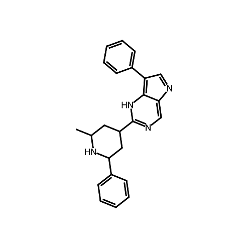 CC1CC(c2ncc3ncc(-c4ccccc4)c-3[nH]2)CC(c2ccccc2)N1